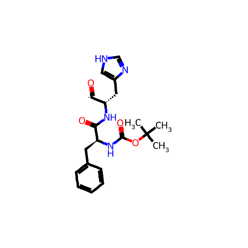 CC(C)(C)OC(=O)N[C@@H](Cc1ccccc1)C(=O)N[C@H]([C]=O)Cc1c[nH]cn1